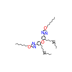 CCCCCCCCOc1cnc(-c2ccc(Oc3ccc(-c4ncc(OCCCCCCCC)cn4)cc3CCCC[Si](C)(C)CCCC)c(CCCC[Si](C)(C)CCCC)c2)nc1